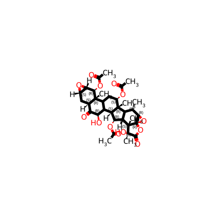 CC(=O)O[C@@H]1[C@H]2C3C(C[C@H](OC(C)=O)[C@]2(C)C2[C@H](C)[C@H]4O[C@]45OC(=O)[C@@](C)(O)[C@]5(C)[C@@H]21)[C@]1(C)[C@H](C[C@@H]2O[C@@H]2[C@@H]1OC(C)=O)C(=O)[C@@H]3O